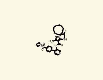 Nc1nn2c(c1C(=O)Nc1cnccc1-c1ccc(S(=O)(=O)N3CCC3)cc1)NCC(F)C21CCCCCCCCC1